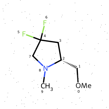 COC[C@H]1CC(F)(F)CN1C